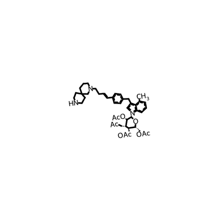 CC(=O)C[C@@H]1[C@@H](OC(C)=O)[C@H](n2cc(Cc3ccc(/C=C/CCN4CCCC5(CCNCC5)C4)cc3)c3c(C)cccc32)O[C@H](COC(C)=O)[C@H]1OC(C)=O